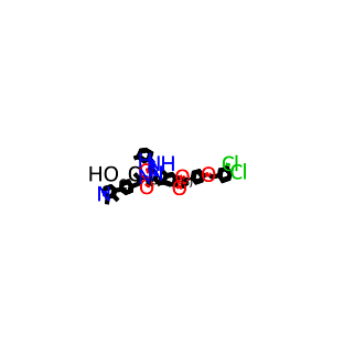 Cc1cccc(NC(=O)N2Cc3cc4c(cc3C[C@H]2C(=O)NC(Cc2ccc(-c3ccnc(C)c3C)cc2)C(=O)O)OC[C@H](c2ccc(OCc3ccc(Cl)c(Cl)c3)cc2)O4)c1